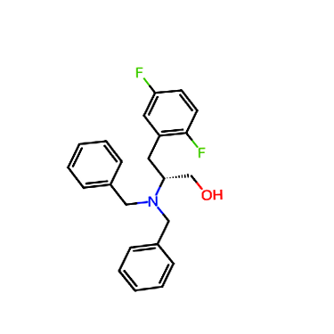 OC[C@@H](Cc1cc(F)ccc1F)N(Cc1ccccc1)Cc1ccccc1